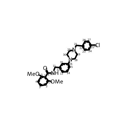 COc1cccc(OC)c1C(=O)NCc1cccc(N2CCN(Cc3ccc(Cl)cc3)CC2)c1